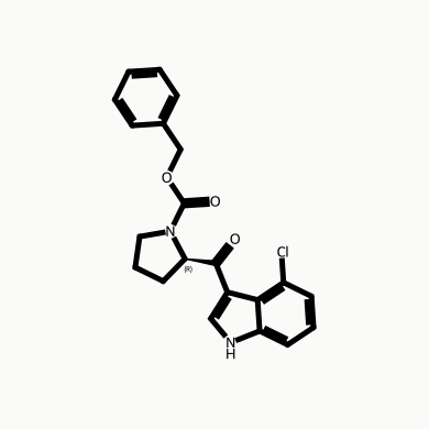 O=C(c1c[nH]c2cccc(Cl)c12)[C@H]1CCCN1C(=O)OCc1ccccc1